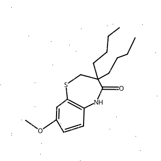 CCCCC1(CCCC)CSc2cc(OC)ccc2NC1=O